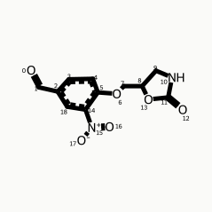 O=Cc1ccc(OCC2CNC(=O)O2)c([N+](=O)[O-])c1